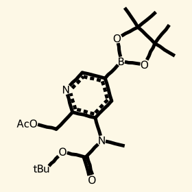 CC(=O)OCc1ncc(B2OC(C)(C)C(C)(C)O2)cc1N(C)C(=O)OC(C)(C)C